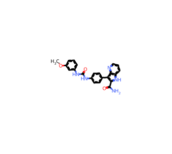 COc1cccc(NC(=O)Nc2ccc(-c3c(C(N)=O)[nH]c4cccnc34)cc2)c1